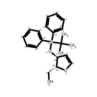 CC(C)(C)[Si](O[C@H]1C=CO[C@@H]1CO)(c1ccccc1)c1ccccc1